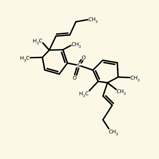 CCC=CC1(C)C(C)=C(S(=O)(=O)C2=C(C)C(C)(C=CCC)C(C)C=C2)C=CC1C